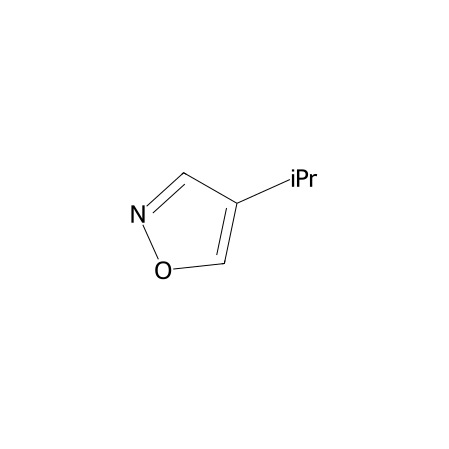 CC(C)c1cnoc1